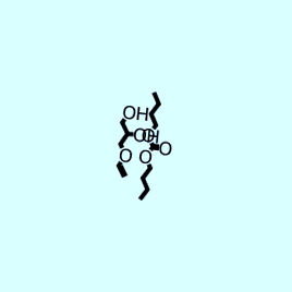 C=COCC(O)CO.CCCCOC(=O)OCCCC